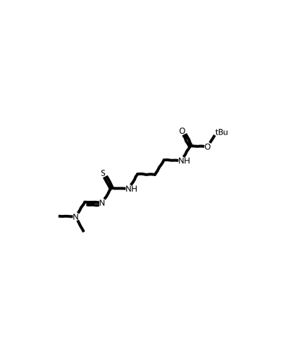 CN(C)/C=N/C(=S)NCCCNC(=O)OC(C)(C)C